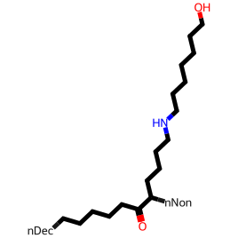 CCCCCCCCCCCCCCCC(=O)C(CCCCCCCCC)CCCCNCCCCCCCO